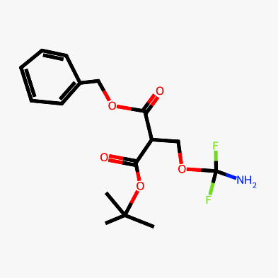 CC(C)(C)OC(=O)C(COC(N)(F)F)C(=O)OCc1ccccc1